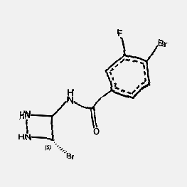 O=C(NC1NN[C@H]1Br)c1ccc(Br)c(F)c1